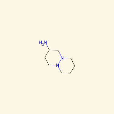 NC1CCN2CCCCN2C1